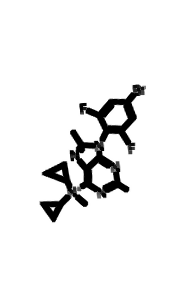 Cc1nc([N+](C)(C2CC2)C2CC2)c2nc(C)n(-c3c(F)cc(Br)cc3F)c2n1